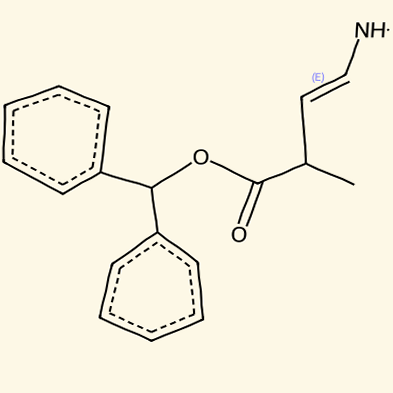 CC(/C=C/[NH])C(=O)OC(c1ccccc1)c1ccccc1